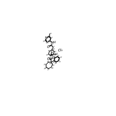 Cc1cc(NC(=O)C[N+]23CCC(CC2)[C@@H](OC(=O)C2(c4ccccc4)CCCCCC2)C3)ncn1.[Cl-]